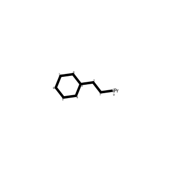 CC(C)CC[C]1CCCCC1